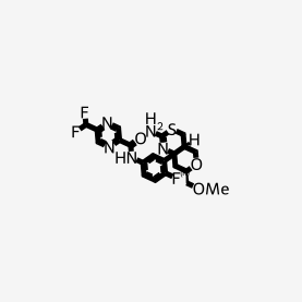 COC[C@H]1CC2(c3cc(NC(=O)c4cnc(C(F)F)cn4)ccc3F)N=C(N)SC[C@@H]2CO1